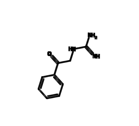 N=C(N)NCC(=O)c1ccccc1